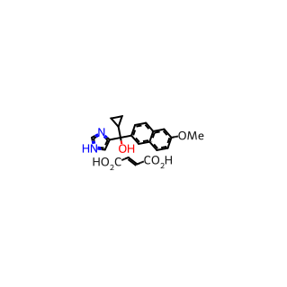 COc1ccc2cc(C(O)(c3c[nH]cn3)C3CC3)ccc2c1.O=C(O)C=CC(=O)O